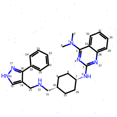 CN(C)c1nc(N[C@H]2CC[C@@H](CNCc3c[nH]nc3-c3ccccc3)CC2)nc2ccccc12